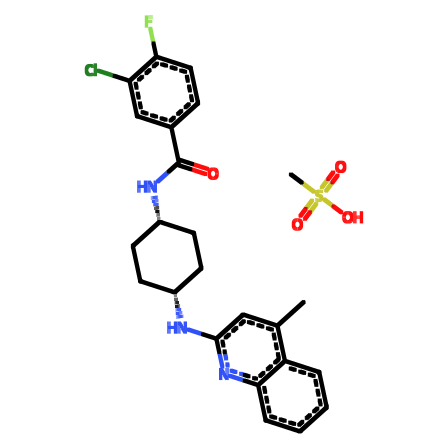 CS(=O)(=O)O.Cc1cc(N[C@H]2CC[C@@H](NC(=O)c3ccc(F)c(Cl)c3)CC2)nc2ccccc12